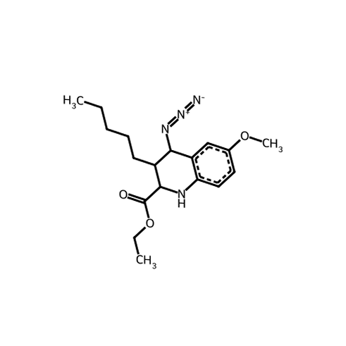 CCCCCC1C(C(=O)OCC)Nc2ccc(OC)cc2C1N=[N+]=[N-]